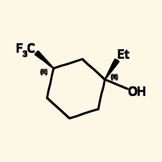 CC[C@@]1(O)CCC[C@@H](C(F)(F)F)C1